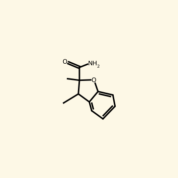 CC1c2ccccc2OC1(C)C(N)=O